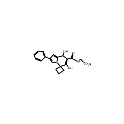 O=C(O)CNC(=O)C1=C(O)C2(CCC2)n2cc(-c3ccccc3)cc2C1O